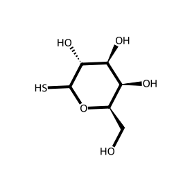 OC[C@H]1OC(S)[C@H](O)[C@@H](O)[C@H]1O